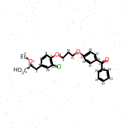 CCO[C@@H](Cc1ccc(OCCCOc2ccc(C(=O)c3ccccc3)cc2)c(Cl)c1)C(=O)O